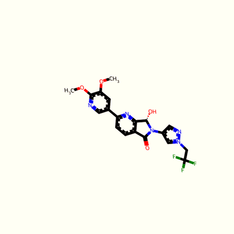 COc1cc(-c2ccc3c(n2)[C@H](O)N(c2cnn(CC(F)(F)F)c2)C3=O)cnc1OC